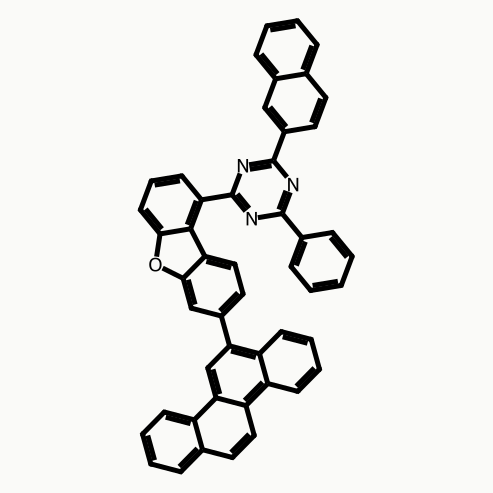 c1ccc(-c2nc(-c3ccc4ccccc4c3)nc(-c3cccc4oc5cc(-c6cc7c8ccccc8ccc7c7ccccc67)ccc5c34)n2)cc1